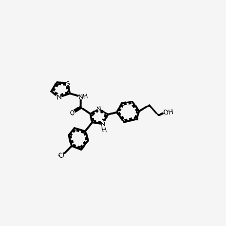 O=C(Nc1nccs1)c1nc(-c2ccc(CCO)cc2)[nH]c1-c1ccc(Cl)cc1